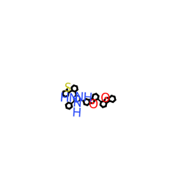 c1ccc(C2NC(c3ccc4oc5c(-c6cccc7c6oc6ccccc67)cccc5c4c3)NC(c3cccc4sc5ccccc5c34)N2)cc1